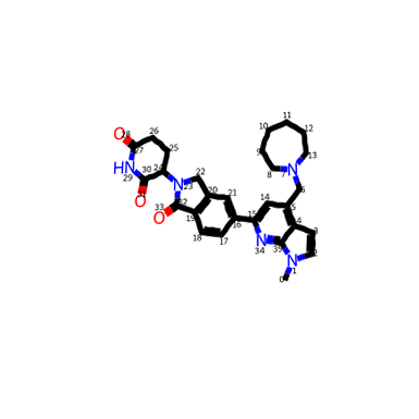 Cn1ccc2c(CN3CCCCCC3)cc(-c3ccc4c(c3)CN(C3CCC(=O)NC3=O)C4=O)nc21